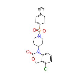 CCCc1ccc(S(=O)(=O)N2CCC(N3C(=O)OCc4c(Cl)cccc43)CC2)cc1